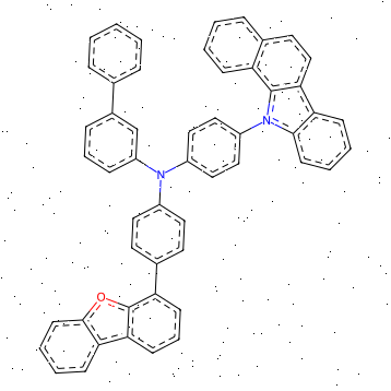 c1ccc(-c2cccc(N(c3ccc(-c4cccc5c4oc4ccccc45)cc3)c3ccc(-n4c5ccccc5c5ccc6ccccc6c54)cc3)c2)cc1